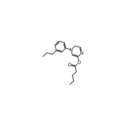 CCCCC(=O)OC1=CN(c2cccc(CCC)c2)CC=N1